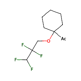 CC(=O)C1(OCC(F)(F)C(F)F)CCCCC1